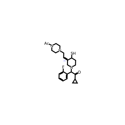 CC(=O)N1CCN(C/C=C2/CN(C(C(=O)C3CC3)c3ccccc3F)CCC2S)CC1